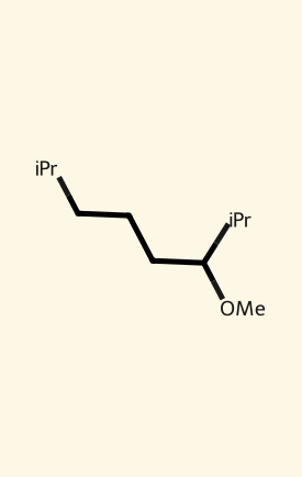 COC(CCCC(C)C)C(C)C